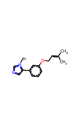 CC(C)=CCOc1cccc(-c2cncn2C(C)C)c1